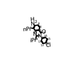 CCCc1c(N)ccc2c(=O)n(-c3ccc(Cl)cc3)c(C(C)C)nc12